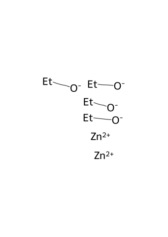 CC[O-].CC[O-].CC[O-].CC[O-].[Zn+2].[Zn+2]